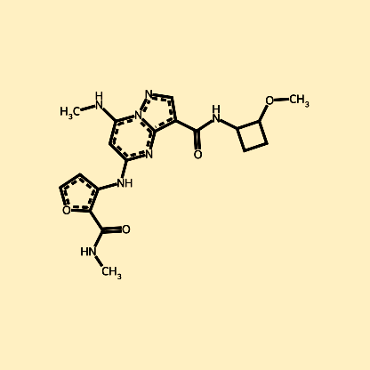 CNC(=O)c1occc1Nc1cc(NC)n2ncc(C(=O)NC3CCC3OC)c2n1